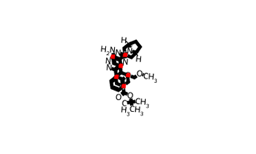 COCOc1ccccc1-c1cc(N2C[C@H]3CC[C@@H](C2)N3c2nccc(C3CCN(C(=O)OC(C)(C)C)CC3)n2)c(N)nn1